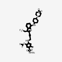 CC(=O)NS(=O)(=O)c1cc(OC(F)F)c(NCC#Cc2sc3c(NC4CCC(N5CCS(=O)(=O)CC5)CC4)cccc3c2CC(F)(F)F)cc1F